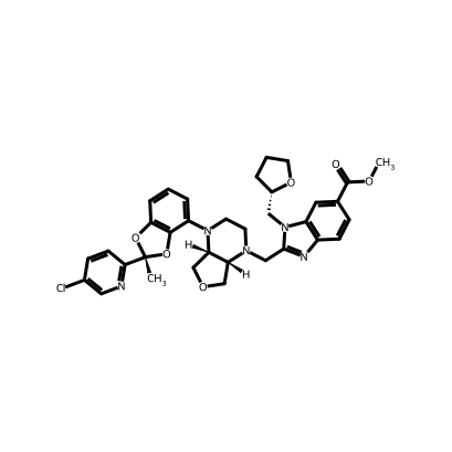 COC(=O)c1ccc2nc(CN3CCN(c4cccc5c4O[C@](C)(c4ccc(Cl)cn4)O5)[C@H]4COC[C@H]43)n(C[C@@H]3CCCO3)c2c1